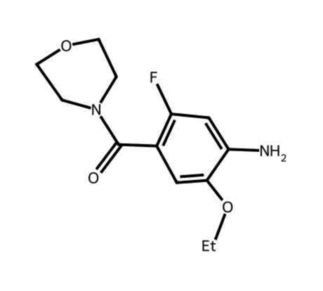 CCOc1cc(C(=O)N2CCOCC2)c(F)cc1N